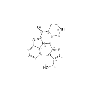 O=C(c1nc2ccccc2n1Cc1ccc(CO)o1)C1CCNCC1